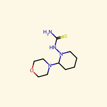 NC(=S)NN1CCCCC1N1CCOCC1